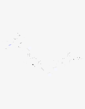 COC1=CC[C@@H]([C@@H](C)/C=C(C)/C=C\C#CC(=O)NC(C(=O)N/C=C\C[C@H](C/C=C(\C)Cl)OC(N)=O)C(C)C)OC1=O